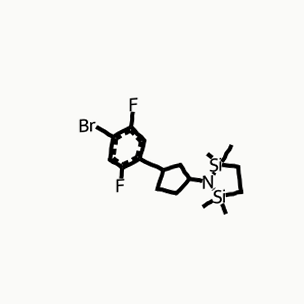 C[Si]1(C)CC[Si](C)(C)N1C1CCC(c2cc(F)c(Br)cc2F)C1